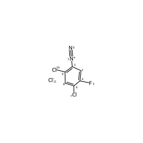 N#[N+]c1cc(F)c(Cl)cc1Cl.[Cl-]